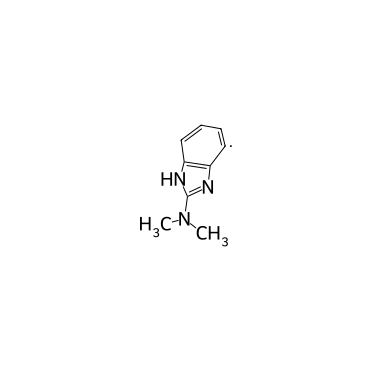 CN(C)c1nc2[c]cccc2[nH]1